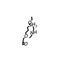 CCNCC.CCO[SiH2]CCCOCC1CO1